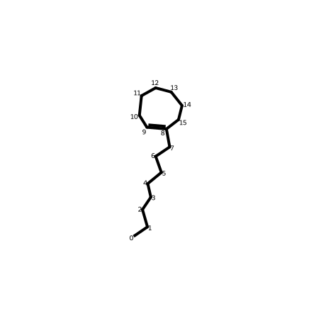 CCCCCCCC/C1=C/CCCCCC1